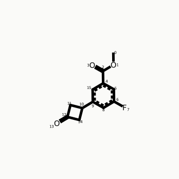 COC(=O)c1cc(F)cc(C2CC(=O)C2)c1